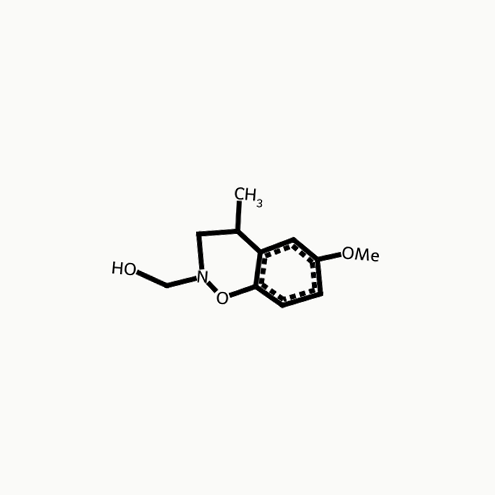 COc1ccc2c(c1)C(C)CN(CO)O2